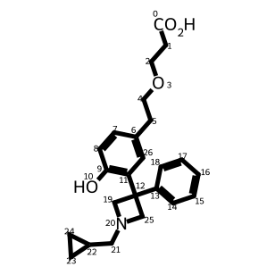 O=C(O)CCOCCc1ccc(O)c(C2(c3ccccc3)CN(CC3CC3)C2)c1